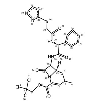 CC1C=C(C(=O)OCC(Cl)(Cl)Cl)N2C(=O)C(NC(=O)[C@@H](NC(=O)CSc3nncs3)c3ccccc3)[C@@H]2S1